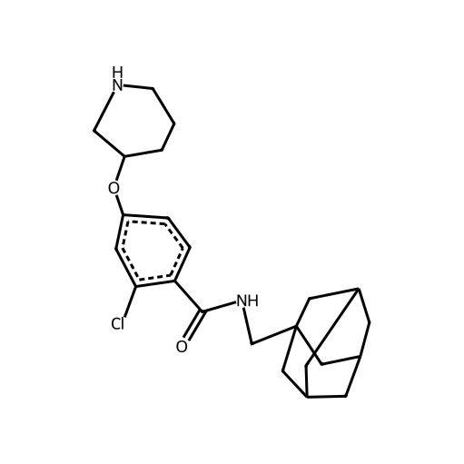 O=C(NCC12CC3CC(CC(C3)C1)C2)c1ccc(OC2CCCNC2)cc1Cl